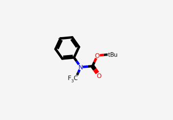 CC(C)(C)OC(=O)N(c1cc[c]cc1)C(F)(F)F